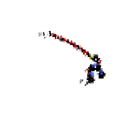 O=C(O)CCOCCOCCOCCOCCOCCOCCOCCOCCSCc1cccc(C(=O)Nc2ccc(N3CCCCC3)cc2-c2cc(C(=O)NCc3cccc(C(F)(F)F)c3)ccn2)c1